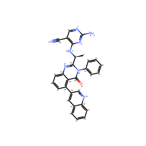 C[C@H](Nc1nc(N)ncc1C#N)c1nc2cccc(-c3cnc4ccccc4c3)c2c(=O)n1-c1ccccc1